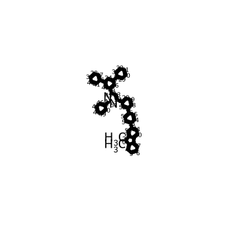 CC1(C)c2ccccc2-c2ccc(-c3ccc(-c4cccc(-c5cc(-c6cc(-c7ccccc7)cc(-c7ccccc7)c6)nc(-c6ccccc6)n5)c4)cc3)cc21